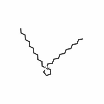 CCCCCCCCCCCC[N+]1(CCCCCCCCCCCC)CCCC1